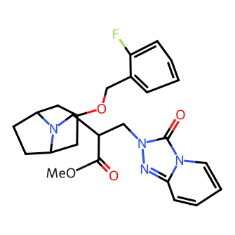 COC(=O)C(CN1C2CCC1CC(OCc1ccccc1F)C2)Cn1nc2ccccn2c1=O